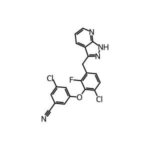 N#Cc1cc(Cl)cc(Oc2c(Cl)ccc(Cc3n[nH]c4ncccc34)c2F)c1